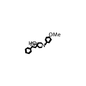 COc1ccc(CN2CCC(O)(CC(O)c3ccccc3)CC2)cc1